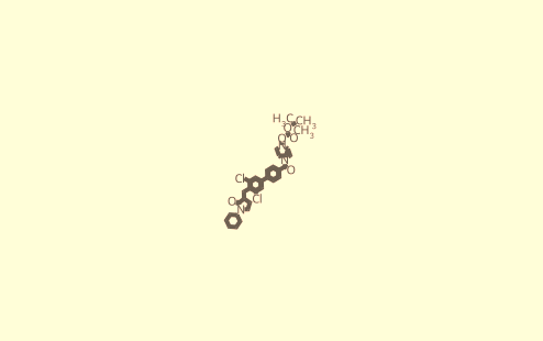 CC(C)(C)OC(=O)ON1CC2CC1CN2C(=O)c1ccc(-c2cc(Cl)c(CC3CCN(C4CCCCC4)C3=O)c(Cl)c2)cc1